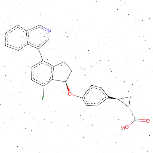 O=C(O)[C@H]1C[C@@H]1c1ccc(O[C@@H]2CCc3c(-c4cncc5ccccc45)ccc(F)c32)cc1